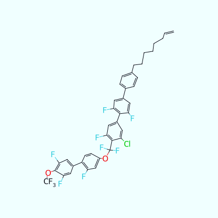 C=CCCCCCCc1ccc(-c2cc(F)c(-c3cc(F)c(C(F)(F)Oc4ccc(-c5cc(F)c(OC(F)(F)F)c(F)c5)c(F)c4)c(Cl)c3)c(F)c2)cc1